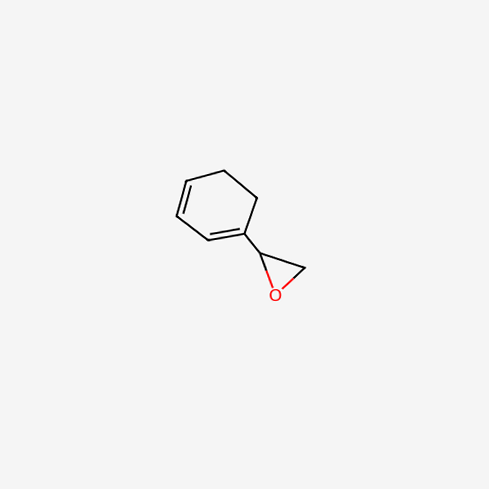 C1=CCCC(C2CO2)=C1